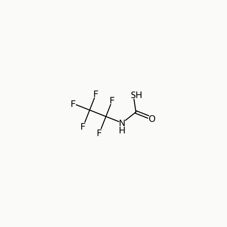 O=C(S)NC(F)(F)C(F)(F)F